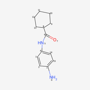 Nc1ccc(NC(=O)C2CCCCC2)cc1